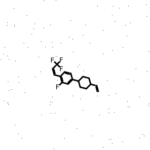 C=CC1CCC(c2ccc(/C=C\C(F)(F)F)c(F)c2)CC1